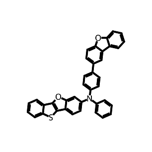 c1ccc(N(c2ccc(-c3ccc4oc5ccccc5c4c3)cc2)c2ccc3c(c2)oc2c4ccccc4sc32)cc1